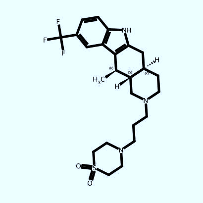 C[C@H]1c2c([nH]c3ccc(C(F)(F)F)cc23)C[C@H]2CCN(CCCN3CCS(=O)(=O)CC3)C[C@@H]21